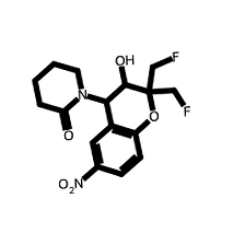 O=C1CCCCN1C1c2cc([N+](=O)[O-])ccc2OC(CF)(CF)C1O